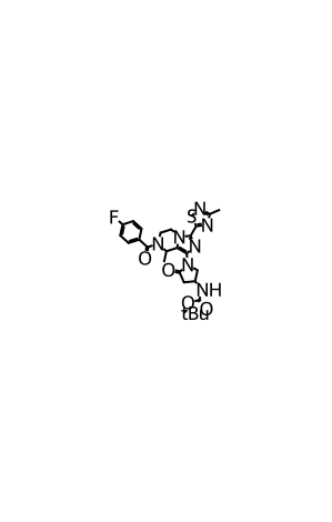 Cc1nsc(-c2nc(N3CC(NC(=O)OC(C)(C)C)CC3=O)c3n2CCN(C(=O)c2ccc(F)cc2)C3C)n1